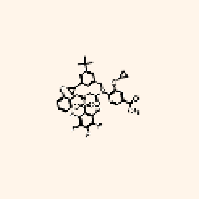 CC(C)(C)c1cc(CN(C(=O)CN(Cc2ccccc2F)S(=O)(=O)c2c(F)c(F)c(F)c(F)c2F)c2ccc(C(=O)O)cc2OC2CC2)cc(C2CC2)c1